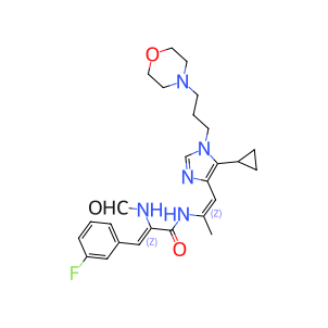 C/C(=C/c1ncn(CCCN2CCOCC2)c1C1CC1)NC(=O)/C(=C/c1cccc(F)c1)NC=O